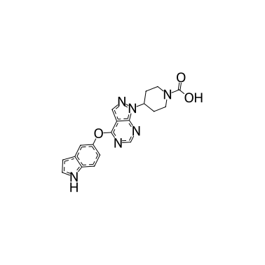 O=C(O)N1CCC(n2ncc3c(Oc4ccc5[nH]ccc5c4)ncnc32)CC1